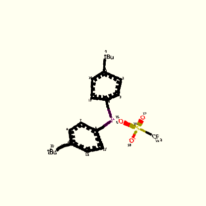 CC(C)(C)c1ccc([I+]c2ccc(C(C)(C)C)cc2)cc1.O=S(=O)([O-])C(F)(F)F